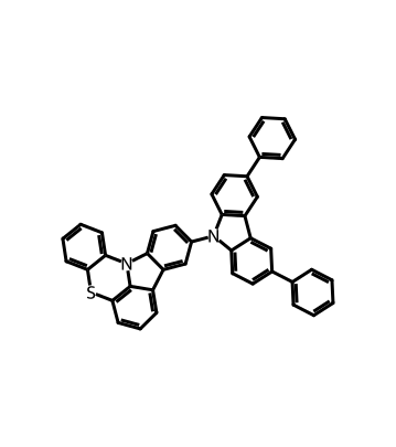 c1ccc(-c2ccc3c(c2)c2cc(-c4ccccc4)ccc2n3-c2ccc3c(c2)c2cccc4c2n3-c2ccccc2S4)cc1